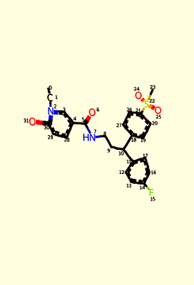 CCn1cc(C(=O)NCCC(c2ccc(F)cc2)c2ccc(S(C)(=O)=O)cc2)ccc1=O